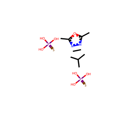 CC.CC(C)C.Cc1nnc(C)o1.OP(O)(O)=S.OP(O)(O)=S